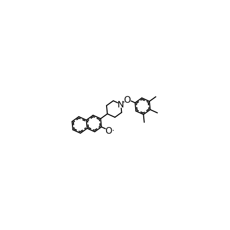 Cc1cc(ON2CCC(c3cc4ccccc4cc3[O])CC2)cc(C)c1C